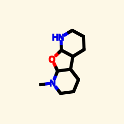 CN1CCCC2C3CCCNC3OC21